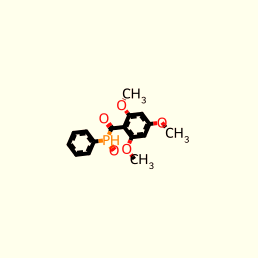 COc1cc(OC)c(C(=O)[PH](=O)c2ccccc2)c(OC)c1